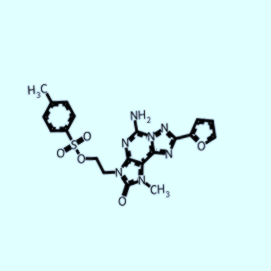 Cc1ccc(S(=O)(=O)OCCn2c(=O)n(C)c3c2nc(N)n2nc(-c4ccco4)nc32)cc1